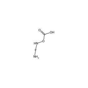 [NH2][Ir][NH]OC(=O)O